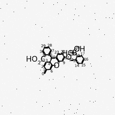 C=C1C=CC2C(=C1)Oc1cc(OCc3ccccc3B(O)O)ccc1C2c1ccccc1C(=O)O